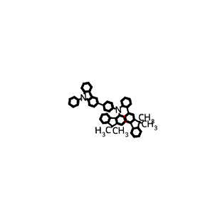 CC1(C)c2ccccc2-c2ccc(-c3ccccc3N(c3ccc(-c4ccc5c(c4)c4ccccc4n5-c4ccccc4)cc3)c3cccc4c3-c3ccccc3C4(C)C)cc21